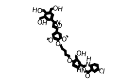 COc1cc(-c2cc(-c3cc(CO)c(CO)c(CO)c3)no2)cc(OC)c1OCCCCCOc1ccc(C2NC(=O)c3cc(Cl)ccc3N2)cc1CO